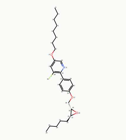 CCCCCCCCOc1cnc(-c2ccc(OC[C@@H]3O[C@H]3CCCCC)cc2)c(F)c1